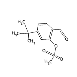 CC(C)(C)c1ccc(C=O)c(OS(C)(=O)=O)c1